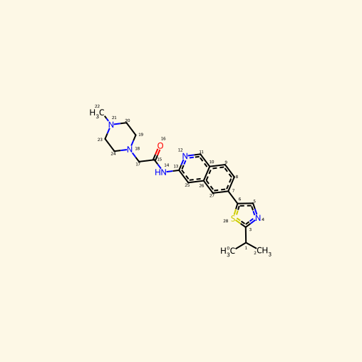 CC(C)c1ncc(-c2ccc3cnc(NC(=O)CN4CCN(C)CC4)cc3c2)s1